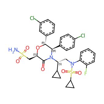 NS(=O)(=O)C[C@H]1O[C@H](c2cccc(Cl)c2)[C@@H](c2ccc(Cl)cc2)N([C@H](CN(c2ccccc2F)S(=O)(=O)C2CC2)C2CC2)C1=O